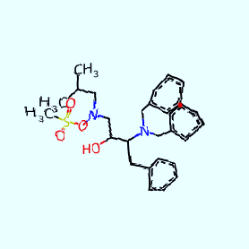 CC(C)CN(CC(O)C(Cc1ccccc1)N(Cc1ccccc1)Cc1ccccc1)OS(C)(=O)=O